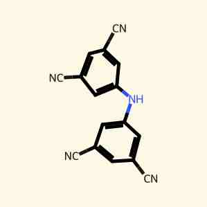 N#Cc1cc(C#N)cc(Nc2cc(C#N)cc(C#N)c2)c1